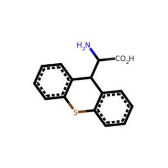 NC(C(=O)O)C1c2ccccc2Sc2ccccc21